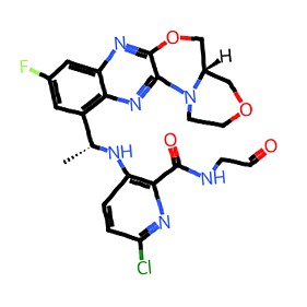 C[C@@H](Nc1ccc(Cl)nc1C(=O)NCC=O)c1cc(F)cc2nc3c(nc12)N1CCOC[C@H]1CO3